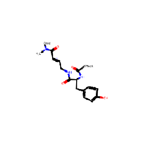 CCCCCCCC(=O)NC(Cc1ccc(O)cc1)C(=O)NC/C=C/C(=O)N(C)OC